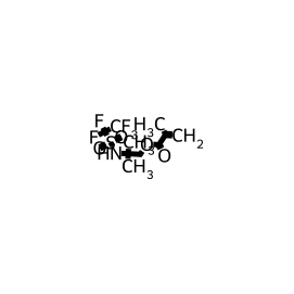 C=C(C)C(=O)OCC(C)(C)NS(=O)(=O)C(F)(F)C(F)(F)F